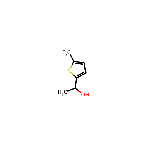 CC(O)c1ccc(C(F)(F)F)s1